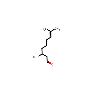 CC(C)=CCCCC(C)CC=O